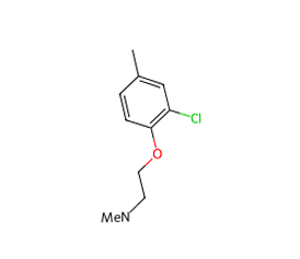 CNCCOc1ccc(C)cc1Cl